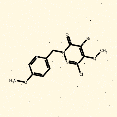 COc1ccc(Cn2nc(Cl)c(OC)c(Br)c2=O)cc1